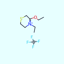 CCOC1=[N+](CC)CCSC1.F[B-](F)(F)F